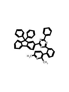 Cc1ccc(-c2ccccc2-c2nc(-c3ccccc3)nc(-c3ccc4c(c3)C(c3ccccc3)(c3ccccc3)c3ccccc3-4)n2)c(C)n1